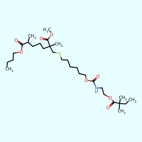 CCCCOC(=O)C(C)CCCC(C)(CSCCCCCCOC(=O)NCCOC(=O)C(C)(C)CC)C(=O)OC